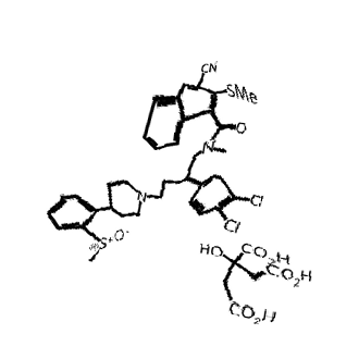 CSc1c(C#N)cc2ccccc2c1C(=O)N(C)CC(CCN1CCC(c2ccccc2[S@+](C)[O-])CC1)c1ccc(Cl)c(Cl)c1.O=C(O)CC(O)(CC(=O)O)C(=O)O